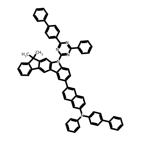 CC1(C)c2ccccc2-c2cc3c4cc(-c5ccc6cc(N(c7ccccc7)c7ccc(-c8ccccc8)cc7)ccc6c5)ccc4n(-c4nc(-c5ccccc5)nc(-c5ccc(-c6ccccc6)cc5)n4)c3cc21